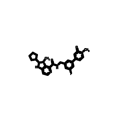 CN1c2c(ccnc2C(=O)NCc2cc(F)cc(-c3ccn(C)c(=O)c3)c2)NC1C1CCCC1